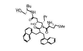 CC[C@H](C)[C@@H](CO)NC(=O)C[C@H](O)[C@H](CC(C)C)N(C(=O)C(Cc1cccc2ccccc12)Cc1cccc2ccccc12)C(=O)[C@@H](N)CCSC